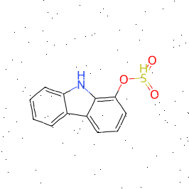 O=[SH](=O)Oc1cccc2c1[nH]c1ccccc12